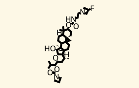 CC(C)[C@@H](OC(=O)N1CCC1)C1C[C@@H](C)[C@H]2C(O1)[C@H](O)[C@@]1(C)C3CC[C@H]4C(C)(C)[C@@H](OC(=O)NCCN5CC(F)C5)CC[C@@]45CC35CC[C@]21C